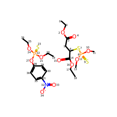 CCOC(=O)CC(SP(=S)(OC)OC)C(=O)OCC.CCOP(=S)(OCC)Oc1ccc([N+](=O)[O-])cc1